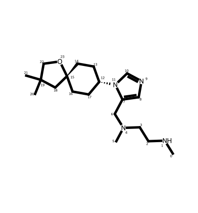 CNCCN(C)Cc1cncn1[C@H]1CC[C@@]2(CC1)CC(C)(C)CO2